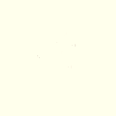 Cc1cccc2cncc(OS(=O)(=O)C(F)(F)F)c12